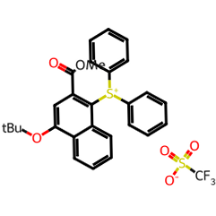 COC(=O)c1cc(OC(C)(C)C)c2ccccc2c1[S+](c1ccccc1)c1ccccc1.O=S(=O)([O-])C(F)(F)F